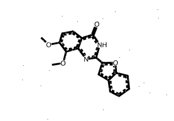 COc1ccc2c(=O)[nH]c(-c3cc4ccccc4o3)nc2c1OC